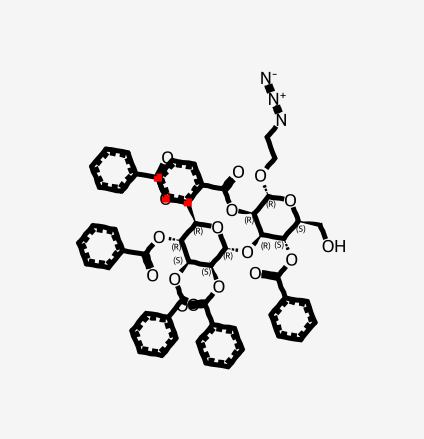 [N-]=[N+]=NCCO[C@@H]1O[C@@H](CO)[C@H](OC(=O)c2ccccc2)[C@@H](O[C@H]2O[C@H](COC(=O)c3ccccc3)[C@@H](OC(=O)c3ccccc3)[C@H](OC(=O)c3ccccc3)[C@@H]2OC(=O)c2ccccc2)[C@H]1OC(=O)c1ccccc1